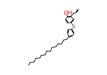 C=CCc1cc(Sc2ccc(CCCCCCCCCCCCCCC)cc2)ccc1O